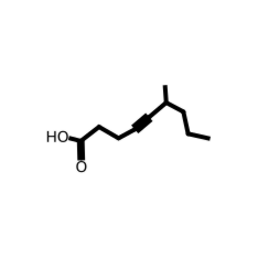 CCCC(C)C#CCCC(=O)O